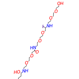 CCC[C@H](O)NCCOCCOCC(=O)NCCOCCOC[C@@H](I)NCCOCCOCCO